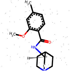 COc1cc(C)ccc1C(=O)N[C@@H]1CN2CCC1CC2